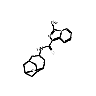 CCCCc1nc(C(=O)NC2CC3CC4CC(C3)C(C4)C2)c2ccccn12